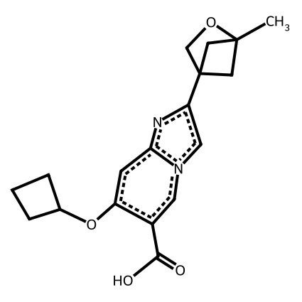 CC12CC(c3cn4cc(C(=O)O)c(OC5CCC5)cc4n3)(CO1)C2